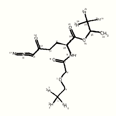 [2H]C([2H])([2H])COCC(=O)N[C@@H](CCC(=O)C=[N+]=[N-])C(=O)OC(C)C([2H])([2H])[2H]